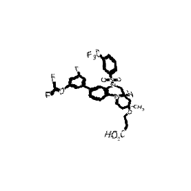 C[C@]1(OCCC(=O)O)CCN2c3ccc(-c4cc(F)cc(OC(F)F)c4)cc3N(S(=O)(=O)c3cccc(C(F)(F)F)c3)C[C@@H]2C1